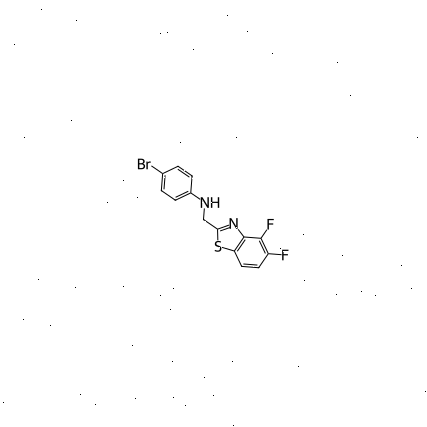 Fc1ccc2sc(CNc3ccc(Br)cc3)nc2c1F